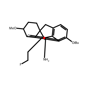 COC1CCC2(CC1)Cc1ccc(OCC(C)C)cc1C21N=C(N)N(CCF)C1=O